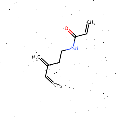 C=CC(=C)CCNC(=O)C=C